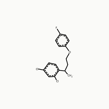 [CH2]C(CCOc1ccc(F)cc1)c1ccc(Cl)cc1Cl